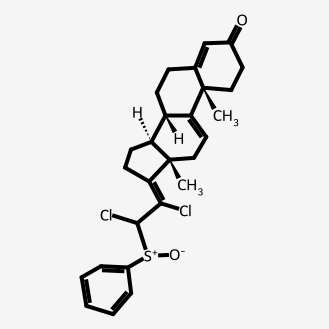 C[C@]12CCC(=O)C=C1CC[C@@H]1C2=CC[C@]2(C)C(=C(Cl)C(Cl)[S+]([O-])c3ccccc3)CC[C@@H]12